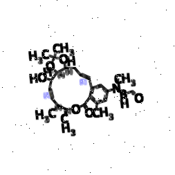 Cc1cc(N(C)BC=O)cc2c1C(=O)O[C@@H](C)[C@H](C)/C=C\C(O)[C@H]1OC(C)(C)O[C@H]1C/C=C/2